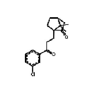 CC1(C)C2CCC1(CCC(=O)c1cccc(Cl)c1)C(=O)C2